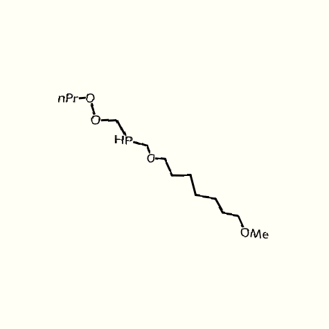 CCCOOCPCOCCCCCCCOC